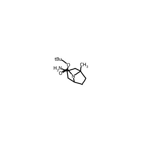 CC(C)(C)OC(=O)N1C2CCC1(C)CC(N)C2